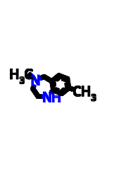 Cc1ccc2c(c1)NCCN(C)C2